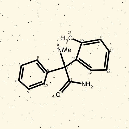 CNC(C(N)=O)(c1ccccc1)c1ccccc1C